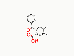 Cc1cc(C(=O)O)c(C(=O)c2ccccc2)cc1C